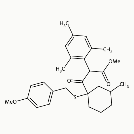 COC(=O)C(C(=O)C1(SCc2ccc(OC)cc2)CCCC(C)C1)c1c(C)cc(C)cc1C